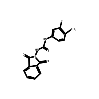 Cc1ccc(NC(=S)NN2C(=O)c3ccccc3C2=O)cc1Cl